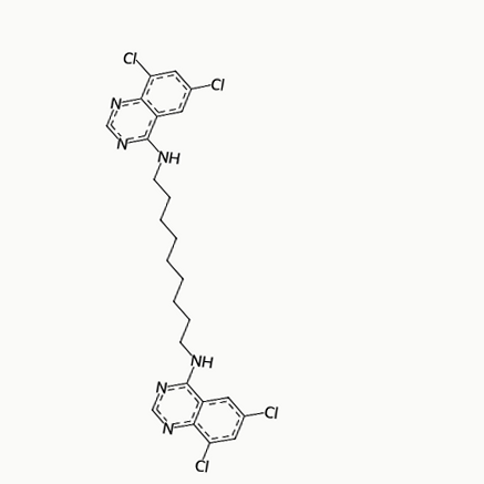 Clc1cc(Cl)c2ncnc(NCCCCCCCCCNc3ncnc4c(Cl)cc(Cl)cc34)c2c1